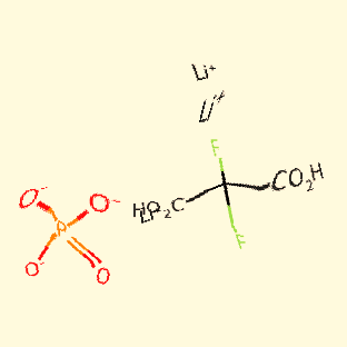 O=C(O)C(F)(F)C(=O)O.O=P([O-])([O-])[O-].[Li+].[Li+].[Li+]